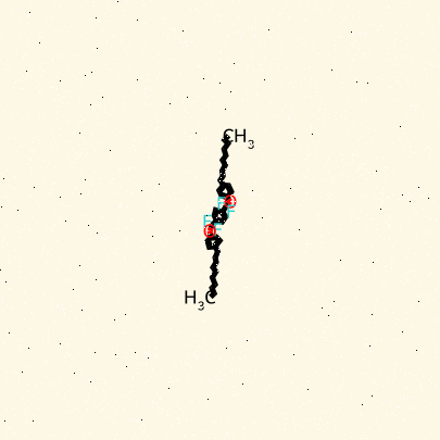 CCCCCCCCCCc1ccc(OC(F)(F)c2ccc(C(F)(F)Oc3ccc(CCCCCCCCCC)cc3)cc2)cc1